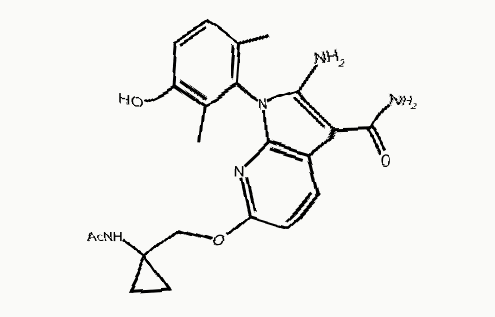 CC(=O)NC1(COc2ccc3c(C(N)=O)c(N)n(-c4c(C)ccc(O)c4C)c3n2)CC1